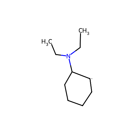 CCN(CC)C1[CH]CCCC1